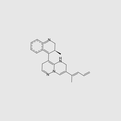 C=C/C=C(\C)C1=CN2N=CCC(C3=c4ccccc4=NC[C@H]3C)=C2NC1